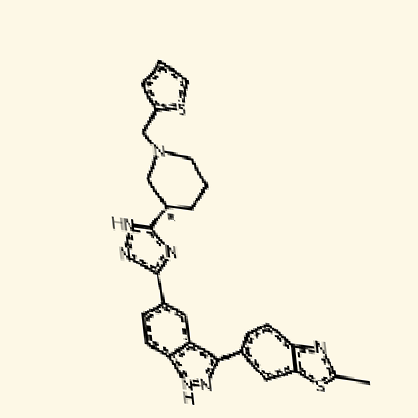 Cc1nc2ccc(-c3n[nH]c4ccc(-c5n[nH]c([C@@H]6CCCN(Cc7cccs7)C6)n5)cc34)cc2s1